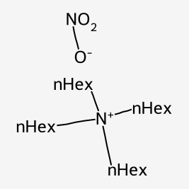 CCCCCC[N+](CCCCCC)(CCCCCC)CCCCCC.O=[N+]([O-])[O-]